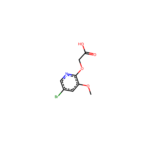 COc1cc(Br)cnc1OCC(=O)O